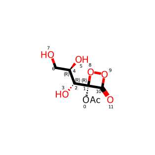 CC(=O)O[C@]1([C@H](O)[C@H](O)CO)OOC1=O